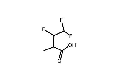 CC(C(=O)O)C(F)C(F)F